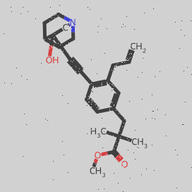 C=CCc1cc(CC(C)(C)C(=O)OC)ccc1C#CC1(O)CN2CCC1CC2